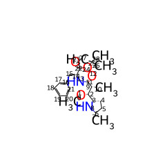 CO[C@@H]([C@@H]1CC[C@H](C)N1)[C@@H](C)C(=O)N[C@@H](Cc1ccccc1)C(=O)OC(C)(C)C